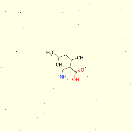 CC(C)CC(C)C(CN)C(=O)O